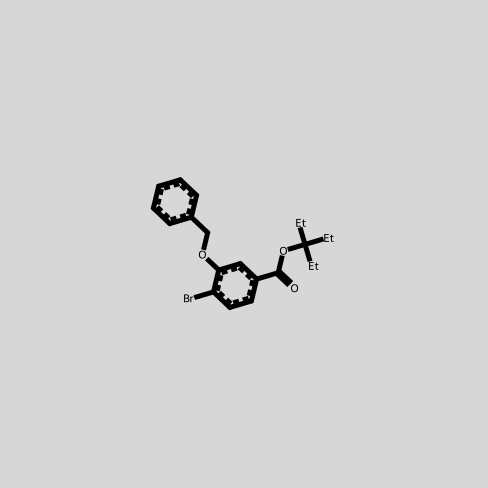 CCC(CC)(CC)OC(=O)c1ccc(Br)c(OCc2ccccc2)c1